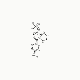 C=C(c1ccc(OC)cc1)C1CCCCN1C(=O)OC(C)(C)C